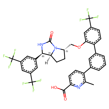 Cc1nc(C(=O)O)ccc1-c1cccc(-c2ccc(C(F)(F)F)cc2OC[C@@H]2CC[C@H]3[C@@H](c4cc(C(F)(F)F)cc(C(F)(F)F)c4)NC(=O)N23)c1